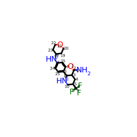 NC(=O)C1CC(C(F)(F)F)CNC1c1ccc(NC2CCOCC2)cc1